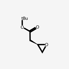 CC(C)(C)OC(=O)C[C@@H]1CO1